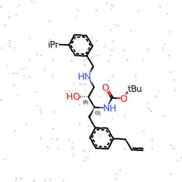 C=CCc1cccc(C[C@H](NC(=O)OC(C)(C)C)[C@H](O)CNCc2cccc(C(C)C)c2)c1